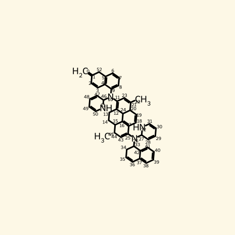 C=C1C=Cc2c(cccc2N(C2=C3CCC4C5=C(C=CC(C(C)=C2)C35)C(N(C2C=CC=CN2)C2CC=Cc3ccccc32)=C[C@@H]4C)C2C=CC=CN2)C1